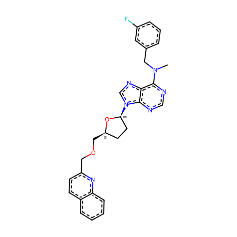 CN(Cc1cccc(F)c1)c1ncnc2c1ncn2[C@H]1CC[C@@H](COCc2ccc3ccccc3n2)O1